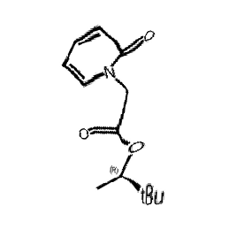 C[C@@H](OC(=O)Cn1ccccc1=O)C(C)(C)C